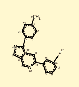 Cc1ccc(-c2ncc3cnc(-c4cccc(F)c4)cn23)cc1